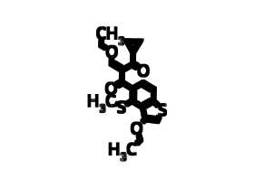 CCOC=C(C(=O)c1ccc2scc(OCC)c2c1SC)C(=O)C1CC1